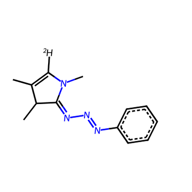 [2H]C1=C(C)C(C)C(=NN=Nc2ccccc2)N1C